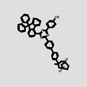 CC1(c2ccc(-c3ccc(-c4nc(-c5ccc(C#N)cc5)nc(-c5cccc6c5-c5ccccc5C6(c5ccccc5)c5ccccc5)n4)cc3)cc2)C[C@@H]2CC[C@H](C2)C1